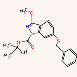 COc1nn(C(=O)OC(C)(C)C)c2cc(OCc3ccccc3)ccc12